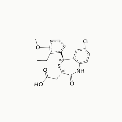 CCc1c(OC)cccc1[C@@H]1S[C@@H](CC(=O)O)C(=O)Nc2ccc(Cl)cc21